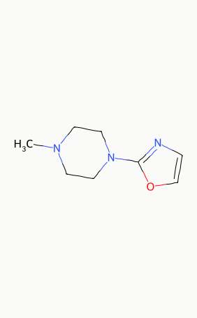 CN1CCN(c2ncco2)CC1